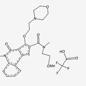 COCCN(C)C(=O)c1sc2c(c1OCCN1CCOCC1)c(=O)n(C)c1ccccc21.O=C(O)C(F)(F)F